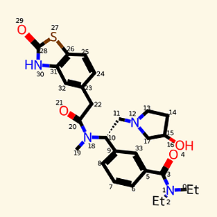 CCN(CC)C(=O)c1cccc([C@@H](CN2CCC(O)C2)N(C)C(=O)Cc2ccc3sc(=O)[nH]c3c2)c1